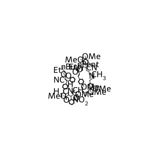 CCCCC(CC)COC(=O)C(C#N)=C(c1ccccc1)c1ccccc1.CCCCCC(CC)OC(=O)/C=C/c1ccc(OC)cc1.COC(=O)C1=C(C)NC(C)=C(C(=O)OC)C1c1ccccc1[N+](=O)[O-].COc1ccc(CCN(C)CCCC(C#N)(c2ccc(OC)c(OC)c2)C(C)C)cc1OC